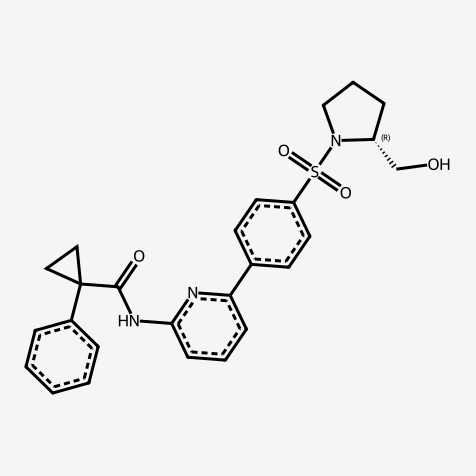 O=C(Nc1cccc(-c2ccc(S(=O)(=O)N3CCC[C@@H]3CO)cc2)n1)C1(c2ccccc2)CC1